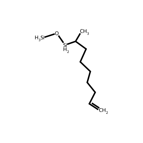 C=CCCCCCC(C)[SiH2]O[SiH3]